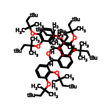 CC(C)(C)CC(C)(C)Oc1cccc([SiH](O[SiH](c2cccc(OC(C)(C)CC(C)(C)C)c2OC(C)(C)CC(C)(C)C)c2cccc(OC(C)(C)CC(C)(C)C)c2OC(C)(C)CC(C)(C)C)c2cccc(OC(C)(C)CC(C)(C)C)c2OC(C)(C)CC(C)(C)C)c1OC(C)(C)CC(C)(C)C